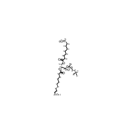 CCCCCCCC/C=C/CCCCCCCC(=O)O[C@H](COC(=O)CCCCCCCCCCCCCCCCC)COP(=O)(O)OCC[N+](C)(C)C